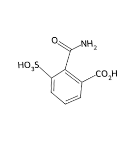 NC(=O)c1c(C(=O)O)cccc1S(=O)(=O)O